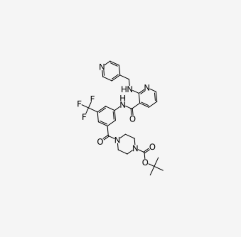 CC(C)(C)OC(=O)N1CCN(C(=O)c2cc(NC(=O)c3cccnc3NCc3ccncc3)cc(C(F)(F)F)c2)CC1